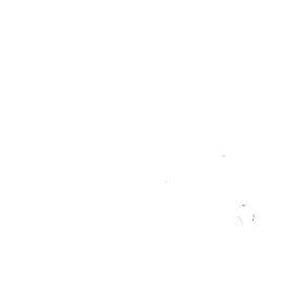 CCCCCCCCCCCCCCCCOS(=O)(=O)CCSCc1ccccc1.[NaH]